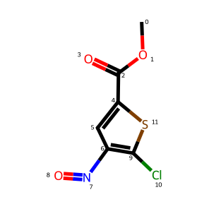 COC(=O)c1cc(N=O)c(Cl)s1